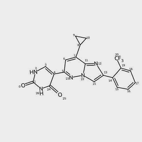 O=c1[nH]cc(-c2cc(C3CC3)c3nc(-c4ccccc4C(F)(F)F)cn3n2)c(=O)[nH]1